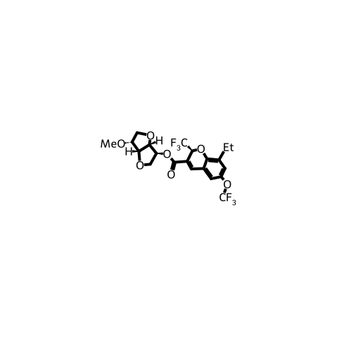 CCc1cc(OC(F)(F)F)cc2c1O[C@H](C(F)(F)F)C(C(=O)O[C@H]1CO[C@H]3[C@@H]1OC[C@H]3OC)=C2